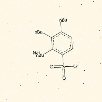 CCCCc1ccc(S(=O)(=O)[O-])c(CCCC)c1CCCC.[Na+]